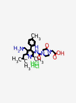 Cc1ccc(-c2c(CN)c(CC(C)C)nc(C)c2NC(=O)N2CCN(CC(=O)O)C(=O)C2)cc1.Cl.Cl